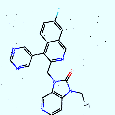 O=c1n(Cc2ncc3cc(F)ccc3c2-c2cncnc2)c2cnccc2n1CC(F)(F)F